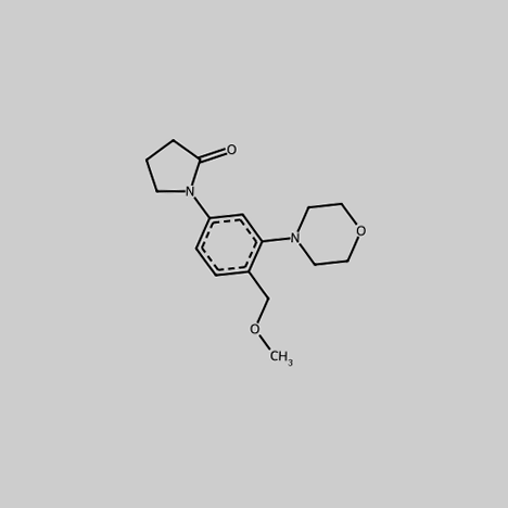 COCc1ccc(N2CCCC2=O)cc1N1CCOCC1